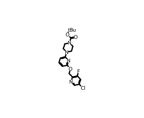 CC(C)(C)OC(=O)N1CCN(c2cccc(OCc3ncc(Cl)cc3F)n2)CC1